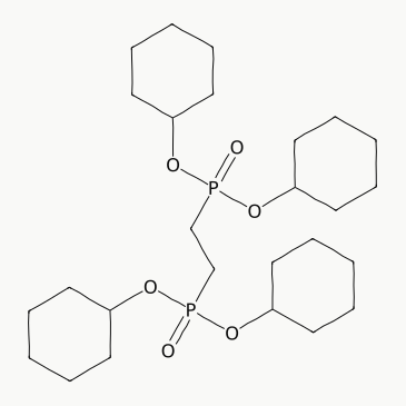 O=P(CCP(=O)(OC1CCCCC1)OC1CCCCC1)(OC1CCCCC1)OC1CCCCC1